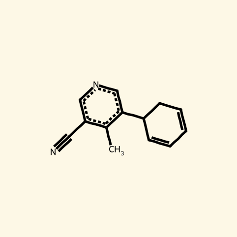 Cc1c(C#N)cncc1C1C=CC=CC1